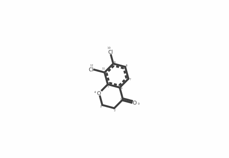 O=C1CCOc2c1ccc(Cl)c2Cl